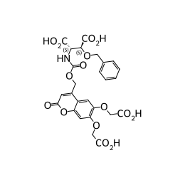 O=C(O)COc1cc2oc(=O)cc(COC(=O)N[C@H](C(=O)O)[C@H](OCc3ccccc3)C(=O)O)c2cc1OCC(=O)O